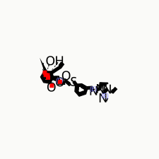 C=C[C@]1(C)C[C@@H](OC(=O)CSc2cccc(/C=N/N3CCN(CC)/C3=N\C)c2)[C@@H](C)C2C3(/C=C/C)CC2(CCC3=O)[C@@H](C)[C@@H]1O